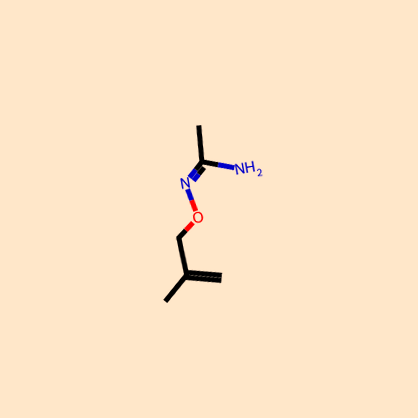 C=C(C)CO/N=C(/C)N